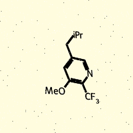 COc1cc(CC(C)C)cnc1C(F)(F)F